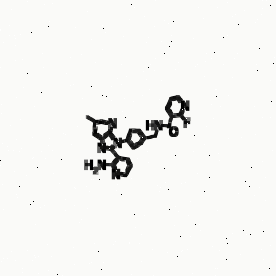 Cc1cnc2c(c1)nc(-c1cccnc1N)n2-c1ccc(CNC(=O)c2cccnc2F)cc1